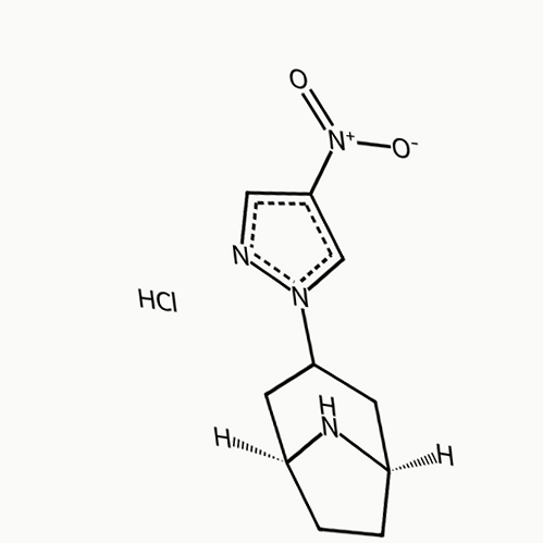 Cl.O=[N+]([O-])c1cnn(C2C[C@H]3CC[C@@H](C2)N3)c1